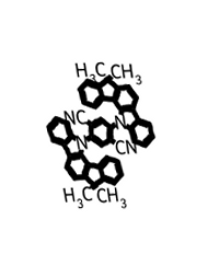 CC1(C)c2ccccc2-c2c1ccc1c3ccccc3n(-c3cc(C#N)c(-n4c5ccccc5c5ccc6c(c54)-c4ccccc4C6(C)C)cc3C#N)c21